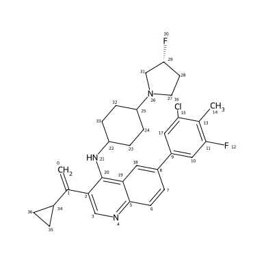 C=C(c1cnc2ccc(-c3cc(F)c(C)c(Cl)c3)cc2c1NC1CCC(N2CC[C@@H](F)C2)CC1)C1CC1